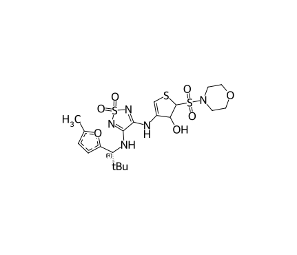 Cc1ccc([C@H](NC2=NS(=O)(=O)N=C2NC2=CSC(S(=O)(=O)N3CCOCC3)C2O)C(C)(C)C)o1